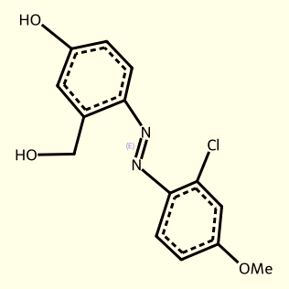 COc1ccc(/N=N/c2ccc(O)cc2CO)c(Cl)c1